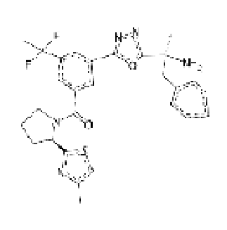 Cc1csc([C@H]2CCCN2C(=O)c2cc(-c3nnc([C@@](C)(N)Cc4ccccc4)o3)cc(C(C)(F)F)c2)n1